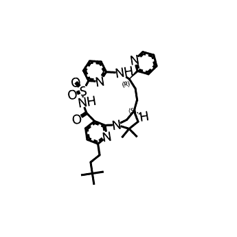 CC(C)(C)CCc1ccc2c(n1)N1C[C@@H](CC[C@H](c3ccccn3)Nc3cccc(n3)S(=O)(=O)NC2=O)CC1(C)C